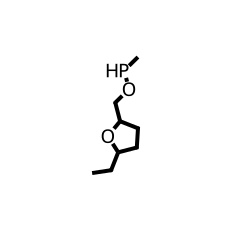 CCC1CCC(COPC)O1